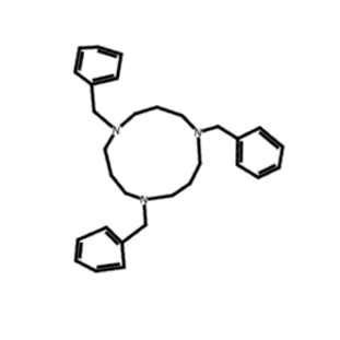 c1ccc(CN2CCCN(Cc3ccccc3)CCCN(Cc3ccccc3)CCC2)cc1